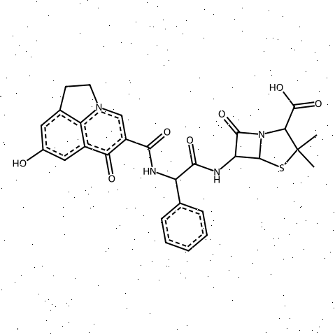 CC1(C)SC2C(NC(=O)C(NC(=O)c3cn4c5c(cc(O)cc5c3=O)CC4)c3ccccc3)C(=O)N2C1C(=O)O